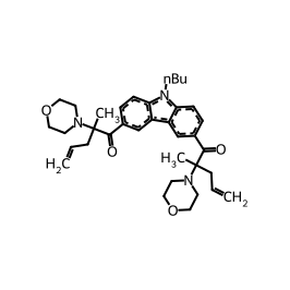 C=CCC(C)(C(=O)c1ccc2c(c1)c1cc(C(=O)C(C)(CC=C)N3CCOCC3)ccc1n2CCCC)N1CCOCC1